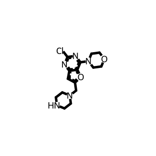 Clc1nc(N2CCOCC2)c2oc(CN3CCNCC3)cc2n1